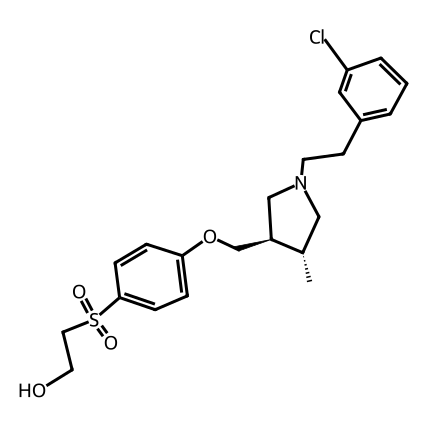 C[C@H]1CN(CCc2cccc(Cl)c2)C[C@@H]1COc1ccc(S(=O)(=O)CCO)cc1